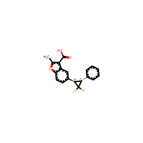 Cc1oc2ccc([C@H]3[C@H](c4ccccc4)C3(F)F)cc2c1C(=O)O